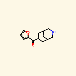 O=C(c1ccco1)C1CC2CNCC(C2)C1